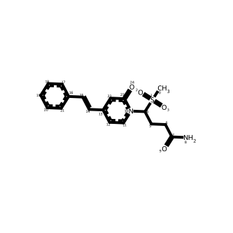 CS(=O)(=O)C(CCC(N)=O)n1ccc(C=Cc2ccccc2)cc1=O